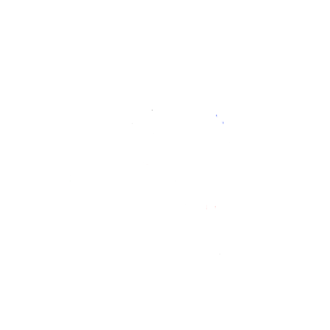 CCc1cc(-c2ccccc2OC2CC2)c(C2(OCc3cc(Cl)ccc3Cl)CC2)cn1